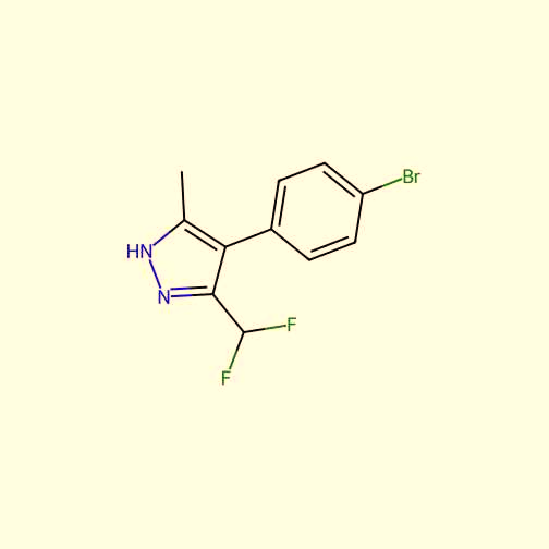 Cc1[nH]nc(C(F)F)c1-c1ccc(Br)cc1